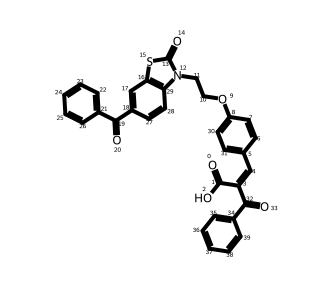 O=C(O)C(=Cc1ccc(OCCn2c(=O)sc3cc(C(=O)c4ccccc4)ccc32)cc1)C(=O)c1ccccc1